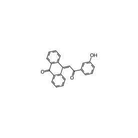 O=C(C=C1c2ccccc2C(=O)c2ccccc21)c1cccc(O)c1